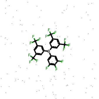 Fc1cc(B(c2cc(C(F)(F)F)cc(C(F)(F)F)c2)c2cc(C(F)(F)F)cc(C(F)(F)F)c2)cc(F)c1F